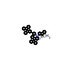 CC1(C)c2ccccc2-c2ccc(N(c3ccc(-c4ccc(C5(c6ccccc6)c6ccccc6-c6ccccc65)cc4)cc3)c3cccc4c3-c3ccccc3C4(c3ccccc3)c3ccccc3)cc21